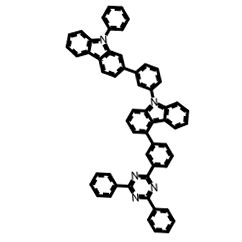 c1ccc(-c2nc(-c3ccccc3)nc(-c3cccc(-c4cccc5c4c4ccccc4n5-c4cccc(-c5ccc6c7ccccc7n(-c7ccccc7)c6c5)c4)c3)n2)cc1